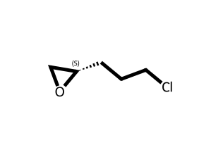 ClCCC[C@H]1CO1